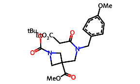 CCOC(=O)CC(=O)N(Cc1ccc(OC)cc1)CC1(C(=O)OC)CN(C(=O)OC(C)(C)C)C1